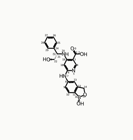 O=C(O)c1cnc(Nc2ccc3c(c2)COB3O)cc1N[C@H](CO)c1ccccc1